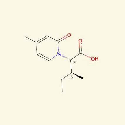 CC[C@H](C)[C@@H](C(=O)O)n1ccc(C)cc1=O